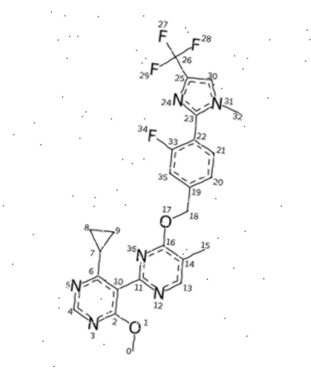 COc1ncnc(C2CC2)c1-c1ncc(C)c(OCc2ccc(-c3nc(C(F)(F)F)cn3C)c(F)c2)n1